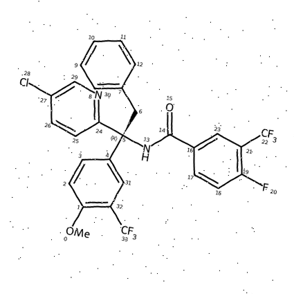 COc1ccc([C@@](Cc2ccccc2)(NC(=O)c2ccc(F)c(C(F)(F)F)c2)c2ccc(Cl)cn2)cc1C(F)(F)F